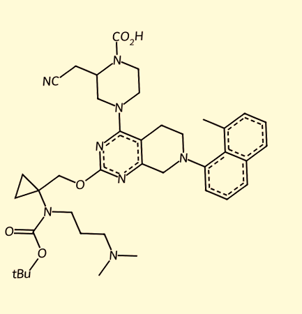 Cc1cccc2cccc(N3CCc4c(nc(OCC5(N(CCCN(C)C)C(=O)OC(C)(C)C)CC5)nc4N4CCN(C(=O)O)C(CC#N)C4)C3)c12